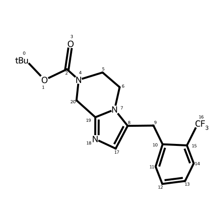 CC(C)(C)OC(=O)N1CCn2c(Cc3ccccc3C(F)(F)F)cnc2C1